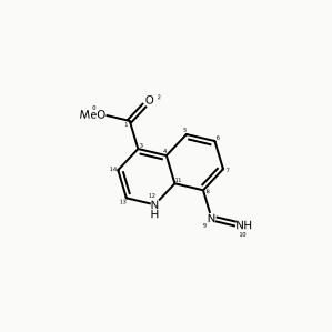 COC(=O)C1=C2C=CC=C(N=N)C2NC=C1